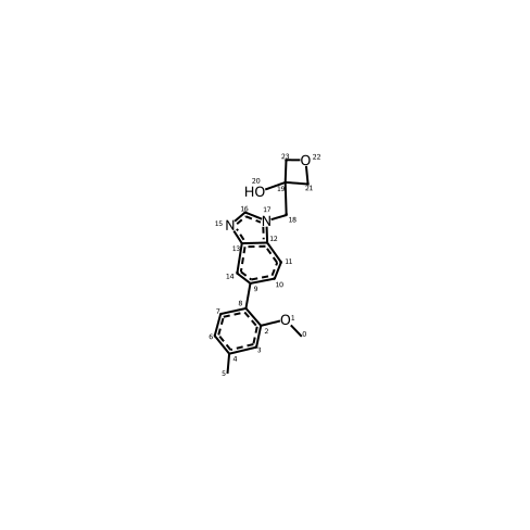 COc1cc(C)ccc1-c1ccc2c(c1)ncn2CC1(O)COC1